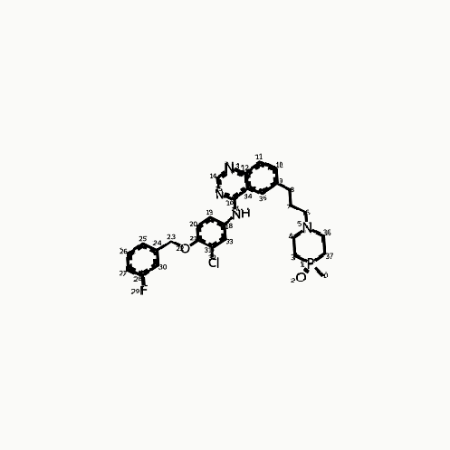 CP1(=O)CCN(CCCc2ccc3ncnc(Nc4ccc(OCc5cccc(F)c5)c(Cl)c4)c3c2)CC1